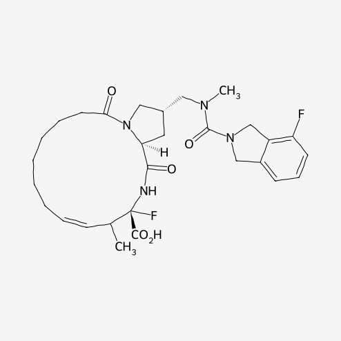 CC1/C=C\CCCCCCC(=O)N2C[C@H](CN(C)C(=O)N3Cc4cccc(F)c4C3)C[C@H]2C(=O)N[C@@]1(F)C(=O)O